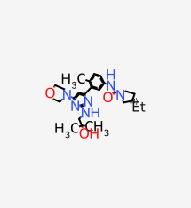 CC[C@@H]1CCN(C(=O)Nc2ccc(C)c(-c3cc(N4CCOCC4)nc(NCC(C)(C)O)n3)c2)C1